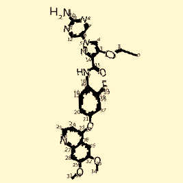 CCOc1cn(-c2cnc(N)nc2)nc1C(=O)Nc1ccc(Oc2ccnc3cc(OC)c(OC)cc23)cc1F